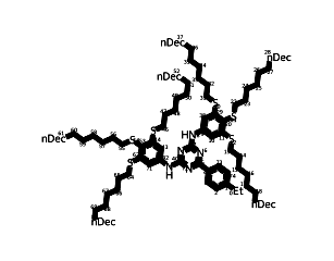 [CH2]Cc1ccc(-c2nc(Nc3cc(SCCCCCCCCCCCCCCCC)c(SCCCCCCCCCCCCCCCC)c(SCCCCCCCCCCCCCCCC)c3)nc(Nc3cc(SCCCCCCCCCCCCCCCC)c(SCCCCCCCCCCCCCCCC)c(SCCCCCCCCCCCCCCCC)c3)n2)cc1